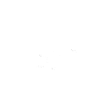 Cl.NCCCc1ccccn1